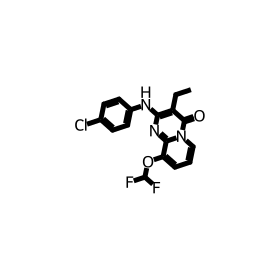 CCc1c(Nc2ccc(Cl)cc2)nc2c(OC(F)F)cccn2c1=O